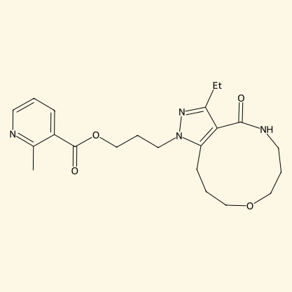 CCc1nn(CCCOC(=O)c2cccnc2C)c2c1C(=O)NCCCOCCC2